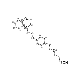 OCCCOCCc1ccc(OCCN2CCOc3ccccc32)cc1